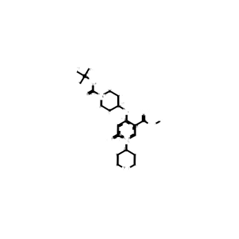 COC(=O)c1cn(C2CCOCC2)c(=O)cc1NC1CCN(C(=O)OC(C)(C)C)CC1